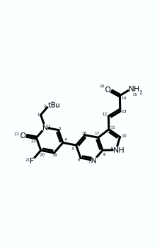 CC(C)(C)Cn1cc(-c2cnc3[nH]cc(C=CC(N)=O)c3c2)cc(F)c1=O